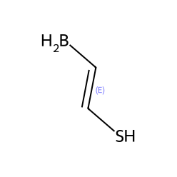 B/C=C/S